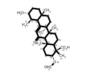 C[C@@H]1CC[C@]2(C)CC[C@]3(C)C(=CC(=O)C4[C@@]5(C)CC[C@@H](OC=O)[C@](C)(C(=O)O)C5CC[C@]43C)C2[C@H]1C